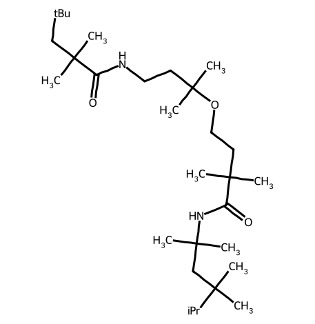 CC(C)C(C)(C)CC(C)(C)NC(=O)C(C)(C)CCOC(C)(C)CCNC(=O)C(C)(C)CC(C)(C)C